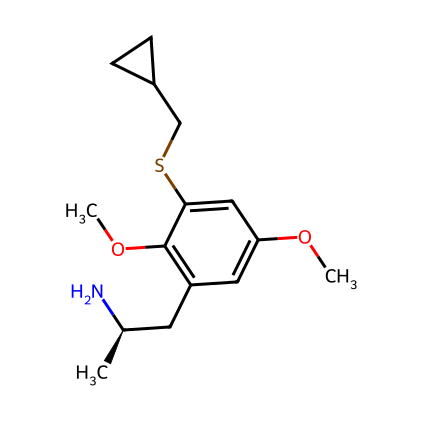 COc1cc(C[C@@H](C)N)c(OC)c(SCC2CC2)c1